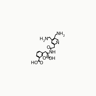 NCc1cnc(CC(=O)N[C@H]2Cc3cccc(C(=O)O)c3OB2O)cc1CN